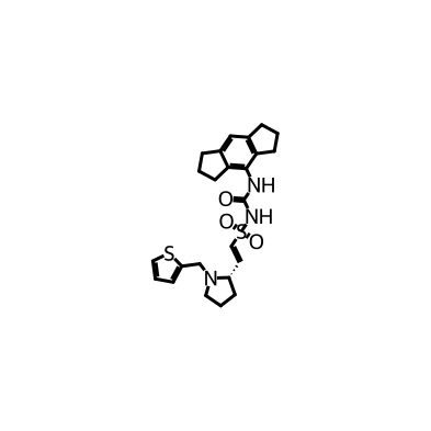 O=C(Nc1c2c(cc3c1CCC3)CCC2)NS(=O)(=O)/C=C/[C@@H]1CCCN1Cc1cccs1